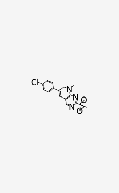 CN1CC(c2ccc(Cl)cc2)=Cc2cnc(S(C)(=O)=O)nc21